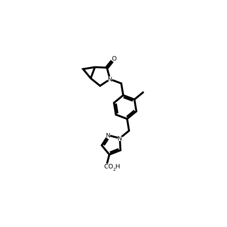 Cc1cc(Cn2cc(C(=O)O)cn2)ccc1CN1CC2CC2C1=O